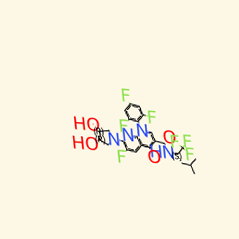 CC(C)C[C@H](NC(=O)c1cn(-c2c(F)cc(F)cc2F)c2nc(N3C[C@@H](O)[C@H](O)C3)c(F)cc2c1=O)C(F)(F)F